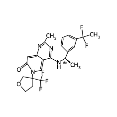 Cc1nc(N[C@H](C)c2cccc(C(C)(F)F)c2)c2cn(C3(C(F)(F)F)CCOC3)c(=O)cc2n1